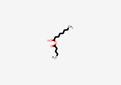 CCCCCCCC(O)OC(=O)CCCC